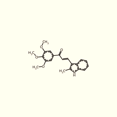 COc1cc(C(=O)C=Cc2c(C)[nH]c3ccccc23)cc(OC)c1OC